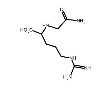 N=C(N)NCCCC(NCC(N)=O)C(=O)O